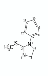 CSC1=NCCN1c1ccccc1